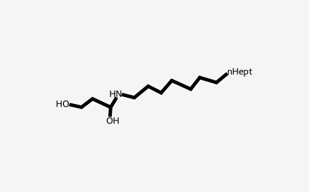 CCCCCCCCCCCCCCNC(O)CCO